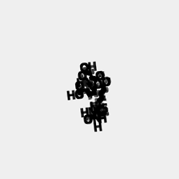 O=C(O)C[C@H](NN1CCC[C@H]1C(=O)O)C(=O)OC(=O)CCCC[C@@H]1SC[C@@H]2NC(=O)N[C@@H]21